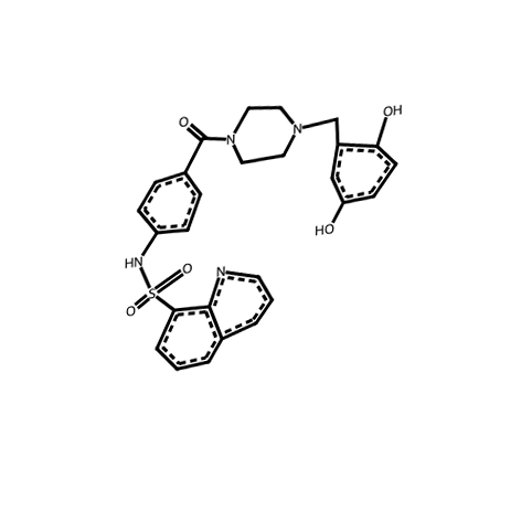 O=C(c1ccc(NS(=O)(=O)c2cccc3cccnc23)cc1)N1CCN(Cc2cc(O)ccc2O)CC1